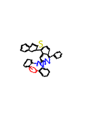 c1ccc(-c2nc(N3c4ccccc4Oc4ccccc43)cc3c2ccc2sc4cc5ccccc5cc4c23)cc1